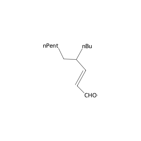 CCCCCCC(/C=C/[C]=O)CCCC